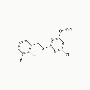 CCCOc1cc(Cl)nc(SCc2cccc(F)c2F)n1